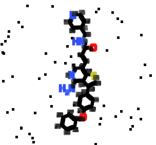 Nc1ncc(C=CC(=O)NCc2ccncc2)c2scc(-c3ccc(Oc4ccccc4)cc3)c12